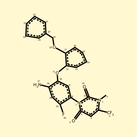 Cn1c(C(F)(F)F)cc(=O)n(-c2cc(Oc3ccccc3OCc3ccccc3)c(N)cc2F)c1=O